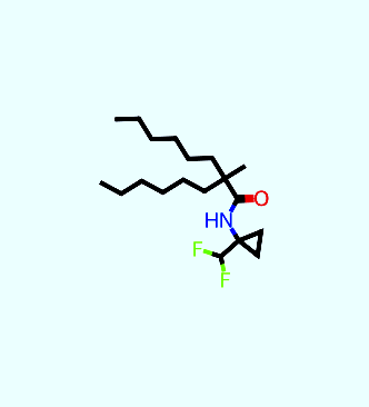 CCCCCCC(C)(CCCCCC)C(=O)NC1(C(F)F)CC1